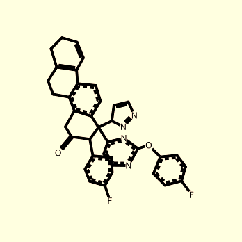 O=C1Cc2c(ccc3c2CCC2=C3C=CCC2)C(c2ccnc(Oc3ccc(F)cc3)n2)(C2C=CN=N2)C1c1ccc(F)cc1